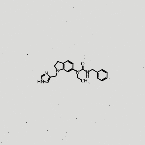 CCN(C(=O)NCc1ccccc1)c1ccc2c(c1)N(Cc1c[nH]cn1)CC2